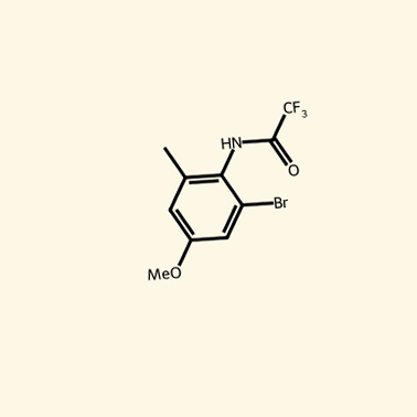 COc1cc(C)c(NC(=O)C(F)(F)F)c(Br)c1